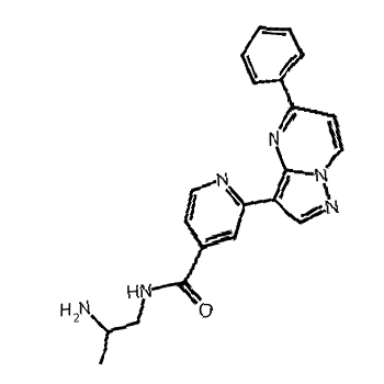 CC(N)CNC(=O)c1ccnc(-c2cnn3ccc(-c4ccccc4)nc23)c1